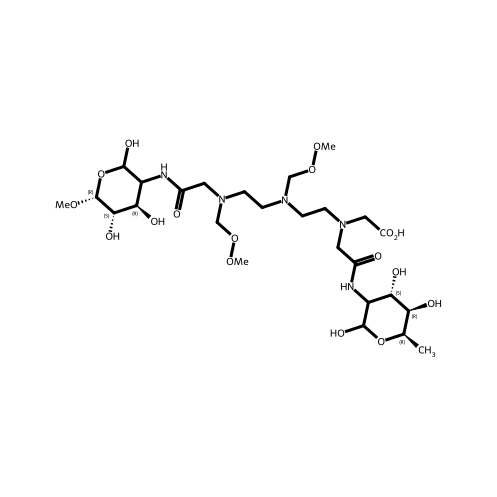 COOCN(CCN(COOC)CC(=O)NC1C(O)O[C@@H](OC)[C@@H](O)[C@@H]1O)CCN(CC(=O)O)CC(=O)NC1C(O)O[C@H](C)[C@H](O)[C@H]1O